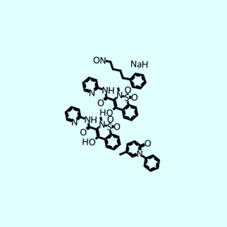 CN1C(C(=O)Nc2ccccn2)=C(O)c2ccccc2S1(=O)=O.CN1C(C(=O)Nc2ccccn2)=C(O)c2ccccc2S1(=O)=O.Cc1ccc(=O)n(-c2ccccc2)c1.O=NCCCCc1ccccc1.[NaH]